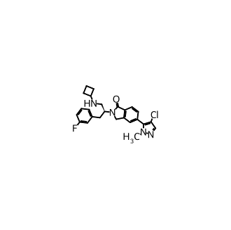 Cn1ncc(Cl)c1-c1ccc2c(c1)CN([C@H](CNC1CCC1)Cc1cccc(F)c1)C2=O